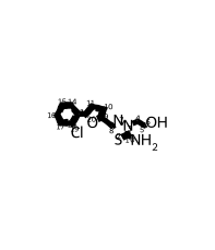 NC(=S)N(CCO)/N=C/c1ccc(-c2ccccc2Cl)o1